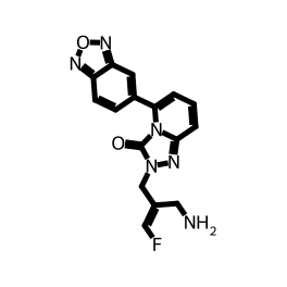 NC/C(=C\F)Cn1nc2cccc(-c3ccc4nonc4c3)n2c1=O